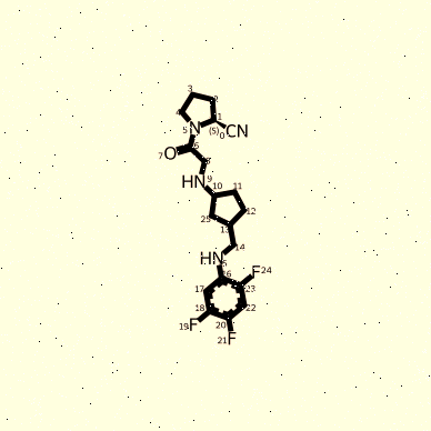 N#C[C@@H]1CCCN1C(=O)CNC1CCC(CNc2cc(F)c(F)cc2F)C1